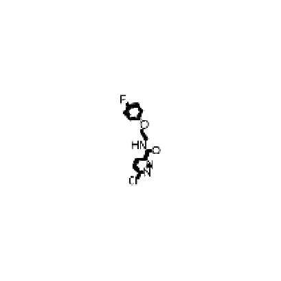 O=C(NCCOc1ccc(F)cc1)c1ccc(Cl)nn1